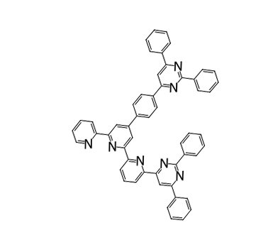 c1ccc(-c2cc(-c3ccc(-c4cc(-c5ccccn5)nc(-c5cccc(-c6cc(-c7ccccc7)nc(-c7ccccc7)n6)n5)c4)cc3)nc(-c3ccccc3)n2)cc1